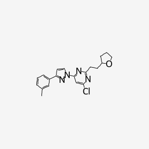 Cc1cccc(-c2ccn(-c3cc(Cl)nc(CCC4CCCO4)n3)n2)c1